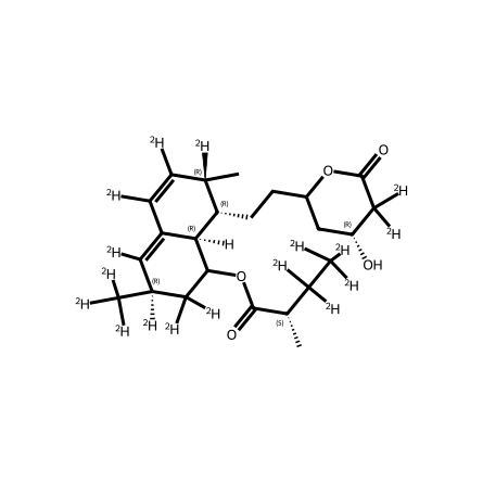 [2H]C1=C([2H])[C@]([2H])(C)[C@H](CCC2C[C@@H](O)C([2H])([2H])C(=O)O2)[C@@H]2C1=C([2H])[C@]([2H])(C([2H])([2H])[2H])C([2H])([2H])C2OC(=O)[C@@H](C)C([2H])([2H])C([2H])([2H])[2H]